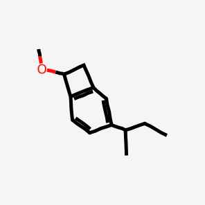 CCC(C)c1ccc2c(c1)CC2OC